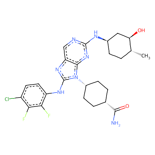 C[C@@H]1CC[C@@H](Nc2ncc3nc(Nc4ccc(Cl)c(F)c4F)n([C@H]4CC[C@@H](C(N)=O)CC4)c3n2)C[C@H]1O